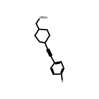 CCCCCCCCCCC1CCC(C#Cc2ccc(F)cc2)CC1